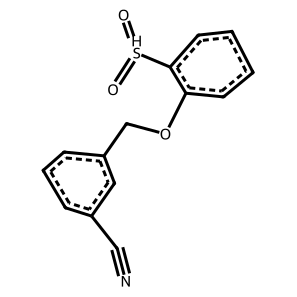 N#Cc1cccc(COc2ccccc2[SH](=O)=O)c1